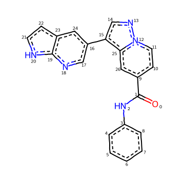 O=C(Nc1ccccc1)c1ccn2ncc(-c3cnc4[nH]ccc4c3)c2c1